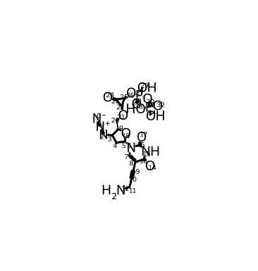 [N-]=[N+]=NC1C[C@H](n2cc(C#CCN)c(=O)[nH]c2=O)O[C@@H]1COC1C(=O)C1OP(=O)(O)OP(=O)(O)O